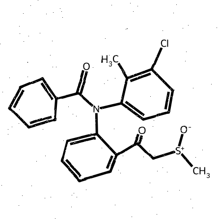 Cc1c(Cl)cccc1N(C(=O)c1ccccc1)c1ccccc1C(=O)C[S+](C)[O-]